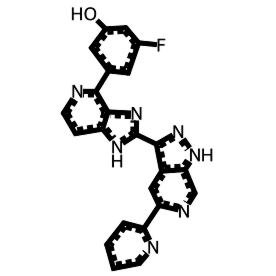 Oc1cc(F)cc(-c2nccc3[nH]c(-c4n[nH]c5cnc(-c6ccccn6)cc45)nc23)c1